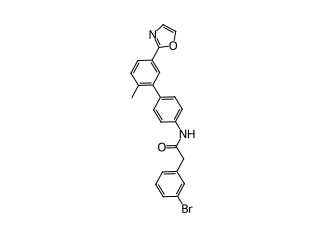 Cc1ccc(-c2ncco2)cc1-c1ccc(NC(=O)Cc2cccc(Br)c2)cc1